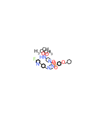 CC(C)(C)OC(=O)NC1CCN(C(=O)[C@@H]2CN(Cc3ccc(-c4ccc(F)cn4)cc3)CCN2S(=O)(=O)c2ccc(OCC3CCCCC3)cc2)CC1